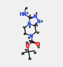 CNc1nnc2n1CCN(C(=O)OC(C)(C)C)C2